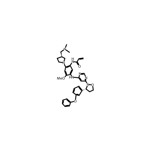 C=CC(=O)Nc1cc(Nc2cc(N3OCC[C@@H]3c3cccc(Oc4ccccc4)c3)ncn2)c(OC)cc1N1CC[C@@H](CN(C)C)C1